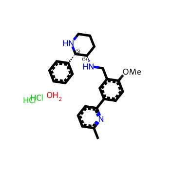 COc1ccc(-c2cccc(C)n2)cc1CN[C@H]1CCCN[C@H]1c1ccccc1.Cl.Cl.O